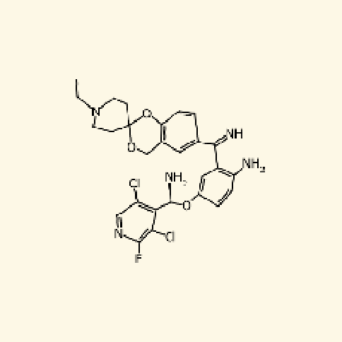 CCN1CCC2(CC1)OCc1cc(C(=N)c3cc(O[C@H](N)c4c(Cl)cnc(F)c4Cl)ccc3N)ccc1O2